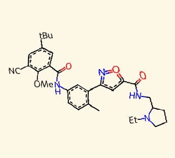 CCN1CCCC1CNC(=O)c1cc(-c2cc(NC(=O)c3cc(C(C)(C)C)cc(C#N)c3OC)ccc2C)no1